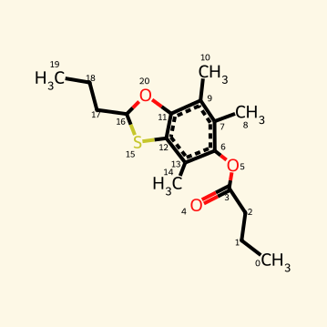 CCCC(=O)Oc1c(C)c(C)c2c(c1C)SC(CCC)O2